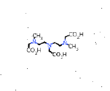 CN(CCN(CCN(C)CC(=O)O)CC(=O)O)CC(=O)O